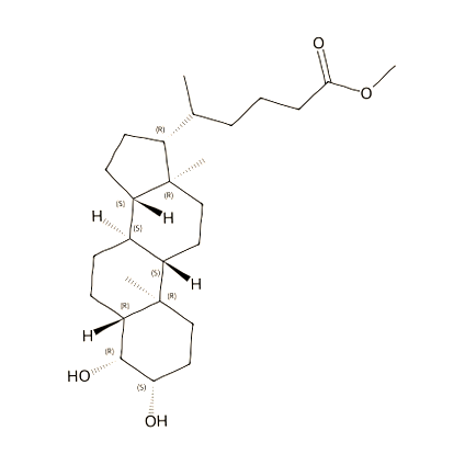 COC(=O)CCCC(C)[C@H]1CC[C@H]2[C@@H]3CC[C@H]4[C@@H](O)[C@@H](O)CC[C@]4(C)[C@H]3CC[C@]12C